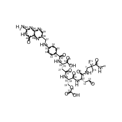 CNC(=O)C(F)(F)CNC(=O)[C@H](CC=O)NC(=O)[C@H](COC(=O)O)NC(=O)C[C@H](NC(=O)c1ccc(NCc2cnc3nc(N)[nH]c(=O)c3n2)cc1)C(=O)O